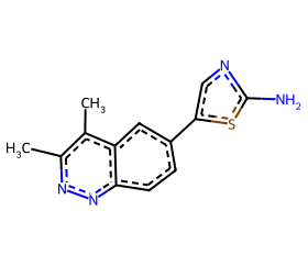 Cc1nnc2ccc(-c3cnc(N)s3)cc2c1C